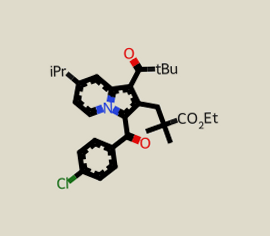 CCOC(=O)C(C)(C)Cc1c(C(=O)C(C)(C)C)c2cc(C(C)C)ccn2c1C(=O)c1ccc(Cl)cc1